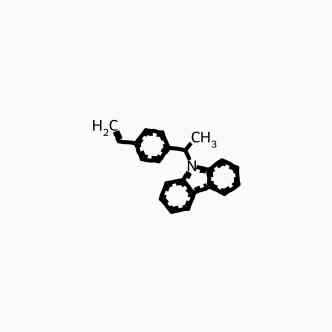 C=Cc1ccc(C(C)n2c3ccccc3c3ccccc32)cc1